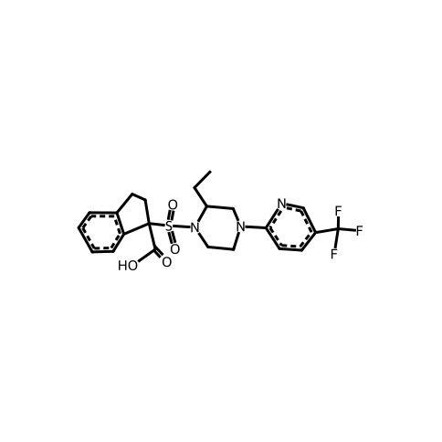 CCC1CN(c2ccc(C(F)(F)F)cn2)CCN1S(=O)(=O)C1(C(=O)O)CCc2ccccc21